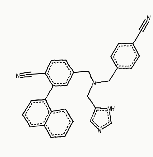 N#Cc1ccc(CN(Cc2ccc(C#N)c(-c3cccc4ccccc34)c2)Cc2cnc[nH]2)cc1